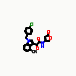 N#Cc1cccc2c1c(C(=O)C(=O)NC1=CC(=O)OC1)cn2Cc1ccc(Cl)cc1